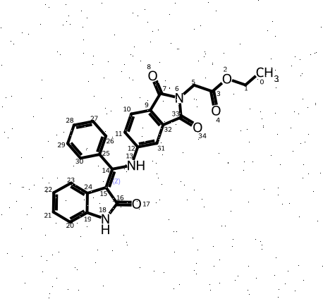 CCOC(=O)CN1C(=O)c2ccc(N/C(=C3\C(=O)Nc4ccccc43)c3ccccc3)cc2C1=O